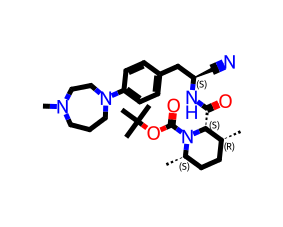 C[C@@H]1CC[C@H](C)N(C(=O)OC(C)(C)C)[C@@H]1C(=O)N[C@H](C#N)Cc1ccc(N2CCCN(C)CC2)cc1